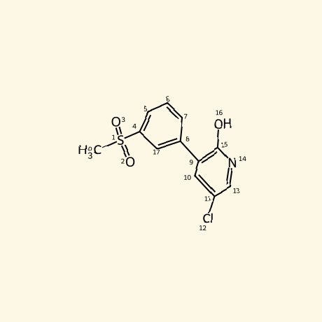 CS(=O)(=O)c1cccc(-c2cc(Cl)cnc2O)c1